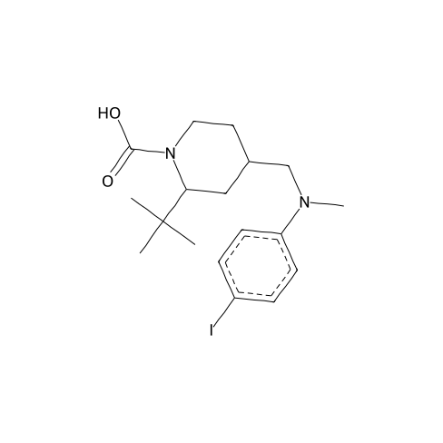 CN(CC1CCN(C(=O)O)C(C(C)(C)C)C1)c1ccc(I)cc1